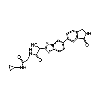 N#CC(C(=O)NCC(=O)NC1CC1)c1nc2ccc(-c3ccc4c(c3)C(=O)NC4)cc2s1